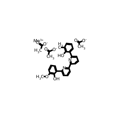 CC(=O)[O-].CC(=O)[O-].CC(=O)[O-].COc1cccc(-c2cccc(-c3cccc(-c4cccc(C)c4O)n3)n2)c1O.[Mn+3]